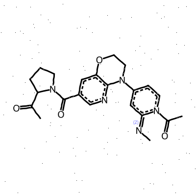 C/N=c1/cc(N2CCOc3cc(C(=O)N4CCCC4C(C)=O)cnc32)ccn1C(C)=O